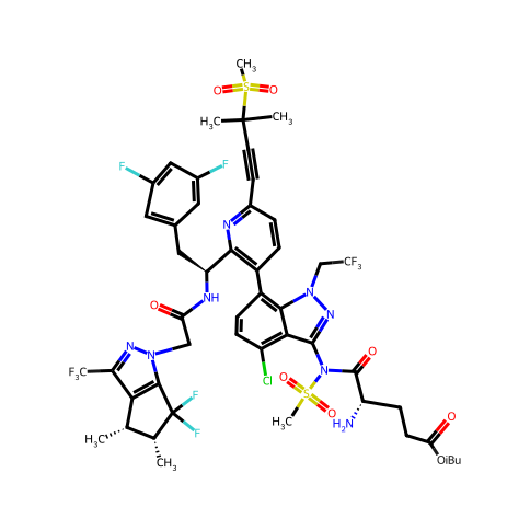 CC(C)COC(=O)CC[C@H](N)C(=O)N(c1nn(CC(F)(F)F)c2c(-c3ccc(C#CC(C)(C)S(C)(=O)=O)nc3[C@H](Cc3cc(F)cc(F)c3)NC(=O)Cn3nc(C(F)(F)F)c4c3C(F)(F)[C@H](C)[C@@H]4C)ccc(Cl)c12)S(C)(=O)=O